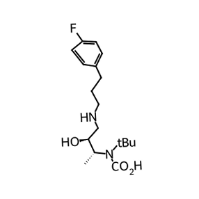 C[C@H]([C@@H](O)CNCCCc1ccc(F)cc1)N(C(=O)O)C(C)(C)C